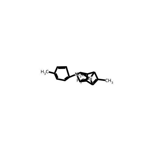 CC1=C2c3cn(-c4ccc(C)cc4)cc3C1[Si]2(C)C